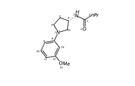 CCCC(=O)N[C@H]1CCN(c2cccc(OC)c2)C1